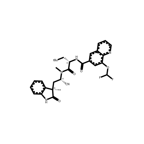 CN(C(=O)[C@H](CC(C)(C)C)NC(=O)c1cc(OC(F)F)c2ncccc2c1)[C@H](C#N)C[C@@]1(C)C(=O)Nc2ccccc21